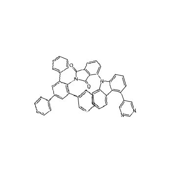 O=C1c2cccc(-n3c4ccccc4c4c(-c5cncnc5)cccc43)c2C(=O)N1c1c(-c2ccccc2)cc(-c2ccccc2)cc1-c1ccccc1